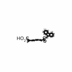 O=C(C#CC#CC#CC1C[C@@H]1C(=O)O)OCC1c2ccccc2-c2ccccc21